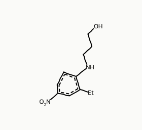 CCc1cc([N+](=O)[O-])ccc1NCCCO